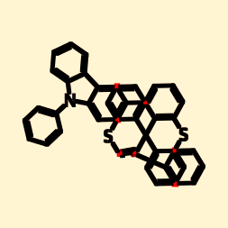 c1ccc(-c2cccc3c2C2(c4ccccc4S3)c3ccccc3Sc3cccc(-c4ccc5c(c4)c4ccccc4n5-c4ccccc4)c32)cc1